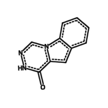 O=c1[nH]ncn2c1cc1ccccc12